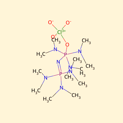 CN(C)P(=NP(O[Cl+3]([O-])([O-])[O-])(N(C)C)(N(C)C)N(C)C)(N(C)C)N(C)C